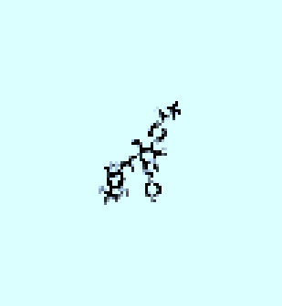 CCc1c(N2CCN(C(=O)OC(C)(C)C)CC2)c(=O)n2nc(N3CCOCC3)nc2n1CC(=O)Nc1cc(Cl)c(C(F)(F)F)cc1C